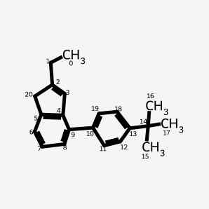 CCC1=Cc2c(cccc2-c2ccc(C(C)(C)C)cc2)[CH]1